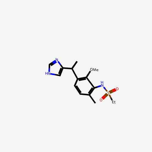 CCS(=O)(=O)Nc1c(C)ccc(C(C)c2c[nH]cn2)c1OC